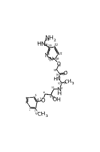 Cc1ccccc1OCC(O)CNC(C)NC(=O)COc1ccc(NN)nn1